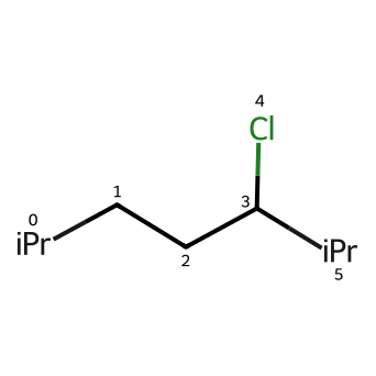 CC(C)CCC(Cl)C(C)C